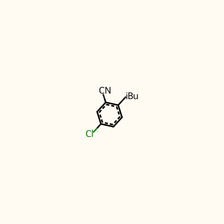 CCC(C)c1ccc(Cl)cc1C#N